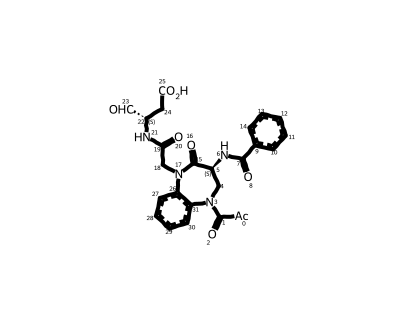 CC(=O)C(=O)N1C[C@H](NC(=O)c2ccccc2)C(=O)N(CC(=O)N[C@H](C=O)CC(=O)O)c2ccccc21